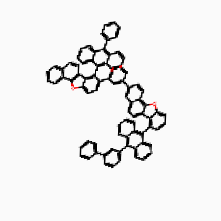 c1ccc(-c2cccc(-c3c4ccccc4c(-c4cccc5oc6c7ccc(-c8cccc(-c9ccc%10oc%11c%12ccccc%12ccc%11c%10c9-c9c%10ccccc%10c(-c%10ccccc%10)c%10ccccc9%10)c8)cc7ccc6c45)c4ccccc34)c2)cc1